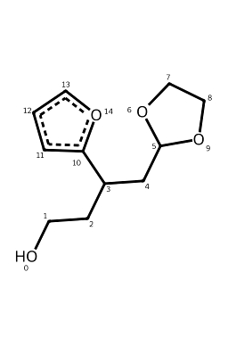 OCCC(CC1OCCO1)c1ccco1